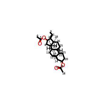 CC=C1C(OC(C)=O)C[C@H]2[C@@H]3CC=C4CC(OC(C)=O)CC[C@]4(C)[C@H]3CC[C@]12C